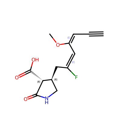 C#C/C=C(\C=C(\F)C[C@H]1CNC(=O)[C@@H]1C(=O)O)OC